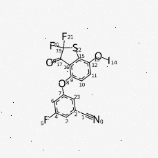 N#Cc1cc(F)cc(Oc2ccc(OI)c3c2C(=O)C(F)(F)S3)c1